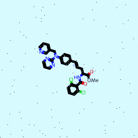 COC(=O)C(C/C=C/c1ccc(N(Cc2cccnc2)c2ncccn2)cc1)NC(=O)c1c(Cl)cccc1Cl